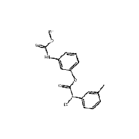 CCN(C(=O)Oc1cccc(NC(=O)OC(C)C)c1)c1cccc(C)c1